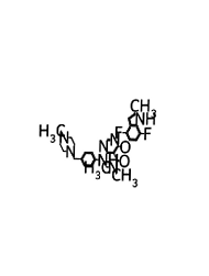 Cc1cc2c(F)c(Oc3ncnc(Nc4ccc(CN5CCN(C)CC5)cc4)c3C(=O)N(C)C)cc(F)c2[nH]1